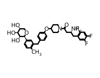 Cc1ccc([C@@H]2OC[C@@H](O)[C@H](O)[C@H]2O)cc1Cc1ccc(OC2CCN(C(=O)C[C@H](N)Cc3cc(F)c(F)cc3F)CC2)cc1